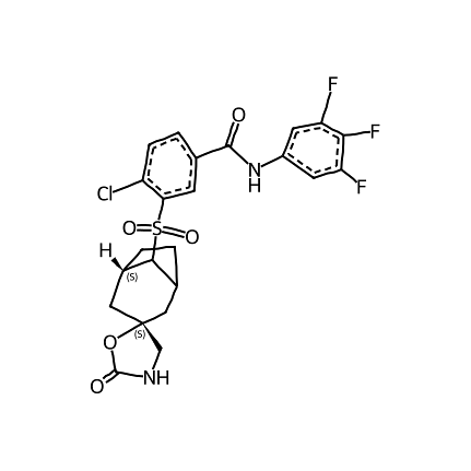 O=C1NC[C@@]2(CC3CC[C@@H](C2)C3S(=O)(=O)c2cc(C(=O)Nc3cc(F)c(F)c(F)c3)ccc2Cl)O1